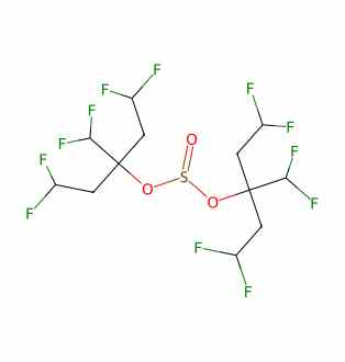 O=S(OC(CC(F)F)(CC(F)F)C(F)F)OC(CC(F)F)(CC(F)F)C(F)F